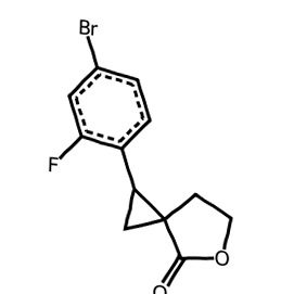 O=C1OCCC12CC2c1ccc(Br)cc1F